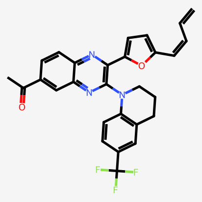 C=C/C=C\c1ccc(-c2nc3ccc(C(C)=O)cc3nc2N2CCCc3cc(C(F)(F)F)ccc32)o1